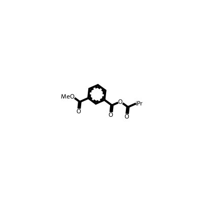 COC(=O)c1cccc(C(=O)OC(=O)C(C)C)c1